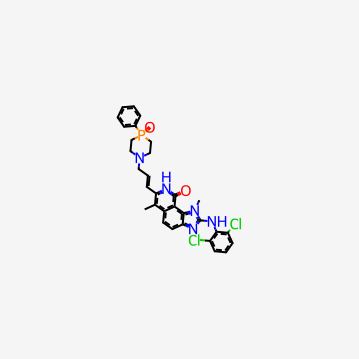 Cc1c(/C=C/CN2CCP(=O)(c3ccccc3)CC2)[nH]c(=O)c2c1ccc1nc(Nc3c(Cl)cccc3Cl)n(C)c12